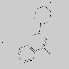 C/C(=C/C(C)N1CCCCC1)c1ccccc1